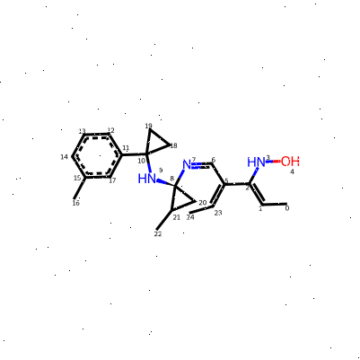 CC=C(NO)C(/C=N\[C@]1(NC2(c3cccc(C)c3)CC2)CC1C)=C/C